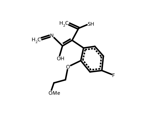 C=N/C(O)=C(\C(=C)S)c1ccc(F)cc1OCCOC